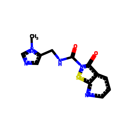 Cn1cncc1CNC(=O)n1sc2ncccc2c1=O